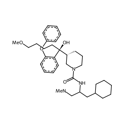 CNCC(CC1CCCCC1)NC(=O)N1CCC[C@@H]([C@@](O)(CCCCOC)c2ccccc2Oc2ccccc2)C1